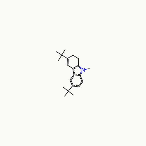 Cn1c2c(c3cc(C(C)(C)C)ccc31)C=C(C(C)(C)C)CC2